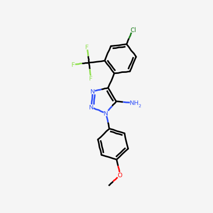 COc1ccc(-n2nnc(-c3ccc(Cl)cc3C(F)(F)F)c2N)cc1